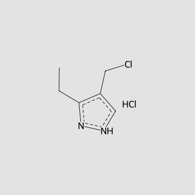 CCc1n[nH]cc1CCl.Cl